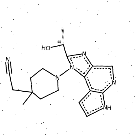 C[C@@H](O)c1nc2cnc3[nH]ccc3c2n1N1CCC(C)(CC#N)CC1